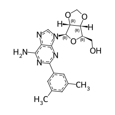 Cc1cc(C)cc(-c2nc(N)c3ncn([C@@H]4O[C@H](CO)[C@H]5OCO[C@H]54)c3n2)c1